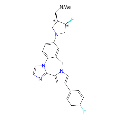 CNC[C@@H]1CN(c2ccc3c(c2)Cn2cc(C4=CCC(F)C=C4)cc2-c2nccn2-3)C[C@@H]1F